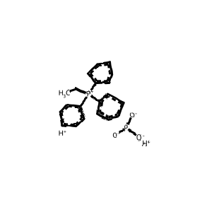 CC[P+](c1ccccc1)(c1ccccc1)c1ccccc1.[H+].[H+].[O-]P([O-])[O-]